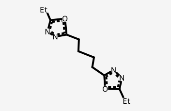 CCc1nnc(CCCCc2nnc(CC)o2)o1